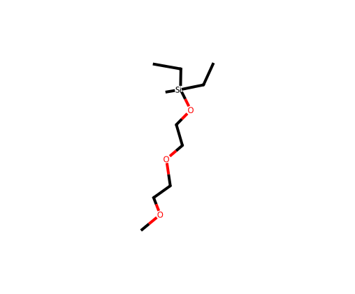 CC[Si](C)(CC)OCCOCCOC